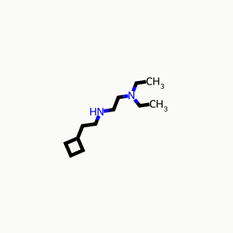 CCN(CC)CCNCCC1CCC1